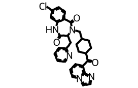 O=C(c1cccn2ccnc12)C1CCC(CN2C(=O)c3ccc(Cl)cc3NC(=O)C2Cc2ccccn2)CC1